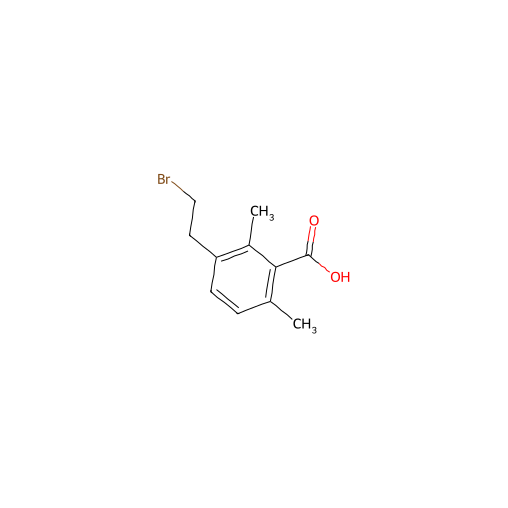 Cc1ccc(CCBr)c(C)c1C(=O)O